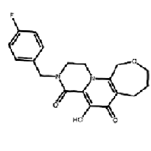 O=C1c2c(O)c(=O)c3c(n2CCN1Cc1ccc(F)cc1)COCCC3